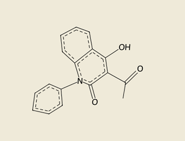 CC(=O)c1c(O)c2ccccc2n(-c2ccccc2)c1=O